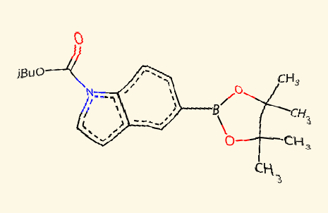 CC(C)COC(=O)n1ccc2cc(B3OC(C)(C)C(C)(C)O3)ccc21